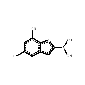 CC(C)c1cc(C#N)c2oc(B(O)O)cc2c1